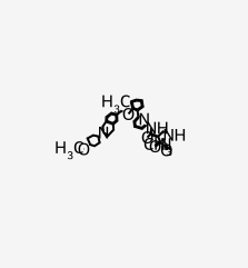 CO/C(Nc1cccc(-c2cccc(C)c2OCc2ccc3c(c2)CCN([C@H]2CC[C@@H](OC)CC2)C3)n1)=C(/C=N)C(=O)N=O